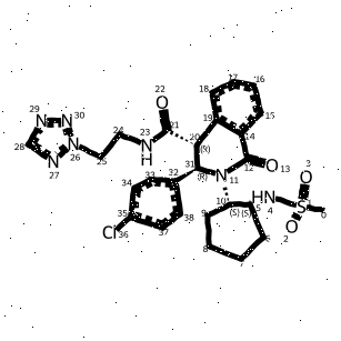 CS(=O)(=O)N[C@H]1CCCC[C@@H]1N1C(=O)c2ccccc2[C@@H](C(=O)NCCn2ncnn2)[C@@H]1c1ccc(Cl)cc1